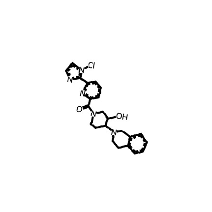 O=C(c1cccc(-c2nccn2Cl)n1)N1CCC(N2CCc3ccccc3C2)C(O)C1